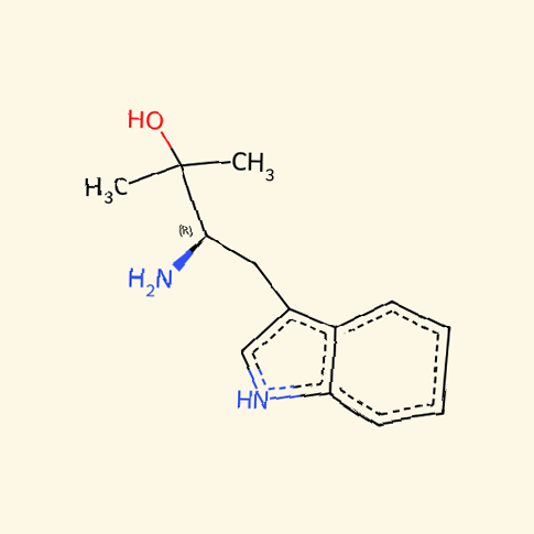 CC(C)(O)[C@H](N)Cc1c[nH]c2ccccc12